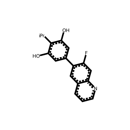 CC(C)c1c(O)cc(-c2cc3cccnc3cc2F)cc1O